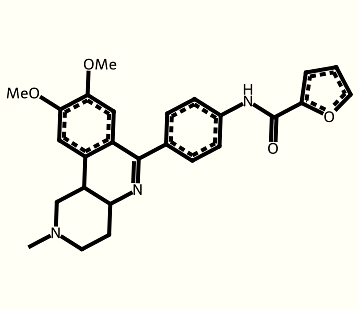 COc1cc2c(cc1OC)C1CN(C)CCC1N=C2c1ccc(NC(=O)c2ccco2)cc1